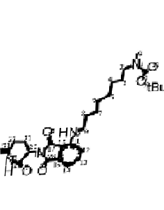 CN(CCCCCCCCNc1cccc2c1C(=O)N(C1CCC(=O)NC1=O)C2=O)C(=O)OC(C)(C)C